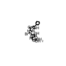 B[PH]1(O)OC[C@H]2O[C@@H](n3c(Br)nc4c(=O)n5cc(-c6ccccc6)[nH]c5nc43)[C@@H](O)[C@H]2O1